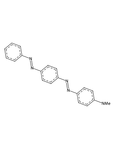 CNc1ccc(N=Nc2ccc(N=Nc3ccccc3)cc2)cc1